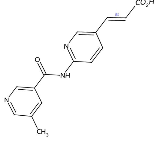 Cc1cncc(C(=O)Nc2ccc(/C=C/C(=O)O)cn2)c1